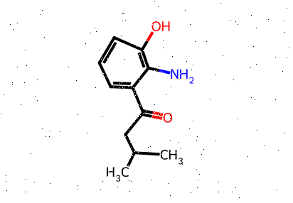 CC(C)CC(=O)c1cccc(O)c1N